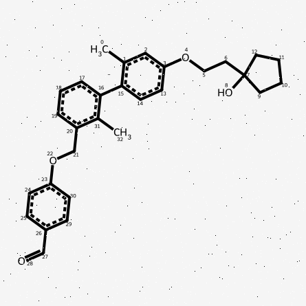 Cc1cc(OCCC2(O)CCCC2)ccc1-c1cccc(COc2ccc(C=O)cc2)c1C